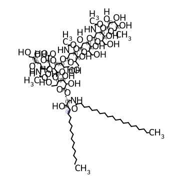 CCCCCCCCCCCCC/C=C/[C@@H](O)[C@H](CO[C@@H]1OC(CO)[C@@H](O[C@@H]2OC(CO)[C@H](O[C@@H]3OC(CO)[C@H](O)[C@H](O[C@@H]4OC(CO)[C@H](O)[C@H](O[C@@H]5OC(CO)[C@@H](O)[C@H](O[C@H]6OC(C)[C@@H](O)C(O)[C@@H]6O)C5NC(C)=O)C4O)C3NC(C)=O)[C@H](O[C@]3(C(=O)O)CC(O)[C@@H](NC(C)=O)C([C@H](O)[C@H](O)CO)O3)C2O)[C@H](O)C1O)NC(=O)CCCCCCCCCCCCCCCCCCC